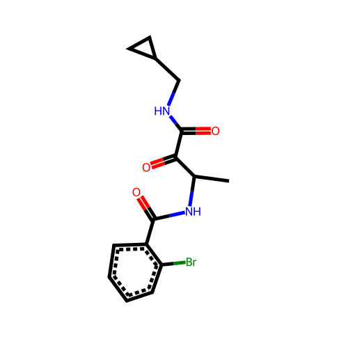 CC(NC(=O)c1ccccc1Br)C(=O)C(=O)NCC1CC1